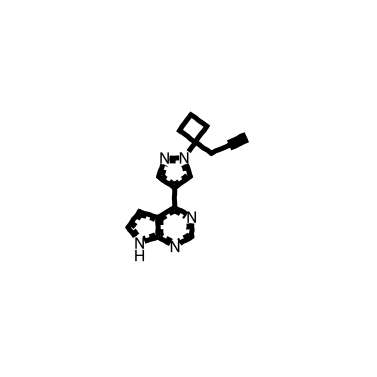 C#CCC1(n2cc(-c3ncnc4[nH]ccc34)cn2)CCC1